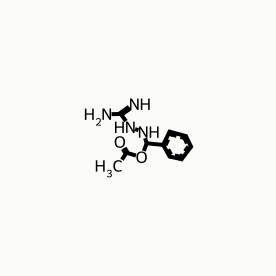 CC(=O)OC(NNC(=N)N)c1ccccc1